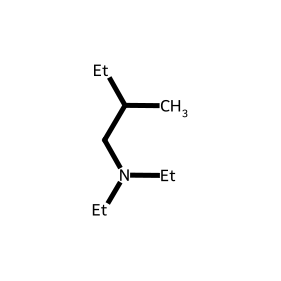 [CH2]CN(C[CH2])CC(C)CC